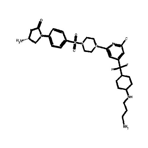 NCCCNC1CCC(C(F)(F)c2cc(Cl)nc(N3CCN(S(=O)(=O)c4ccc(N5C[C@H](N)CC5=O)cc4)CC3)c2)CC1